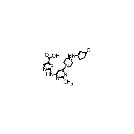 Cc1nc(Nc2ncc(C(=O)O)s2)cc(N2CCN(NC3=CC(=O)CC3)CC2)n1